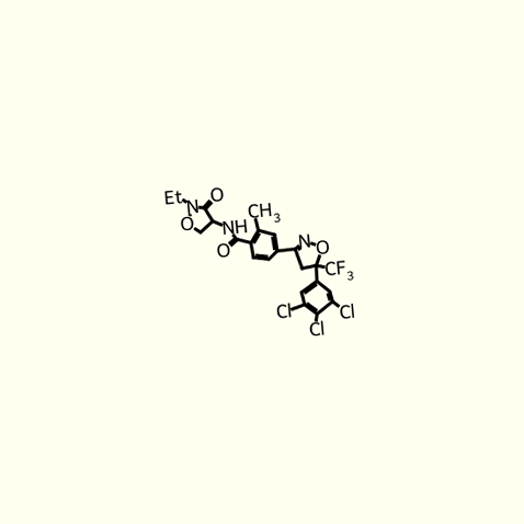 CCN1OCC(NC(=O)c2ccc(C3=NOC(c4cc(Cl)c(Cl)c(Cl)c4)(C(F)(F)F)C3)cc2C)C1=O